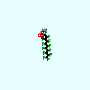 O=S(=O)([O-])C(F)C(F)C(F)C(F)C(F)C(F)C(F)C(F)C(F)C(F)C(F)F.[Li+]